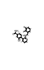 NC(=O)c1ccc(-c2cccnc2NCc2cccc(F)c2F)c(C(F)(F)F)c1